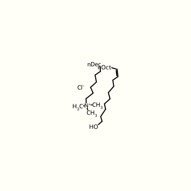 CCCCCCCC/C=C\CCCCCCCCO.CCCCCCCCCCCCCCCC[N+](C)(C)C.[Cl-]